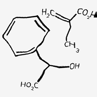 C=C(C)C(=O)O.O=C(O)C(O)c1ccccc1